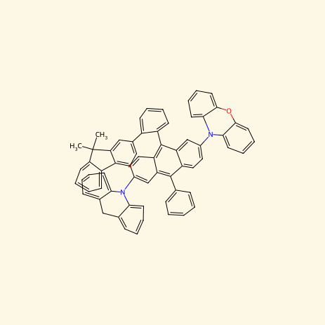 CC1(C)c2ccccc2-c2ccc(-c3ccccc3-c3c4ccc(N5c6ccccc6Cc6ccccc65)cc4c(-c4ccccc4)c4ccc(N5c6ccccc6Oc6ccccc65)cc34)cc21